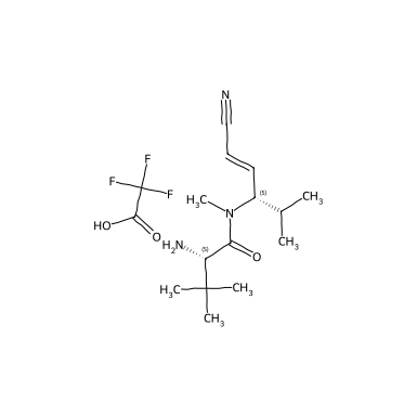 CC(C)[C@@H](C=CC#N)N(C)C(=O)[C@@H](N)C(C)(C)C.O=C(O)C(F)(F)F